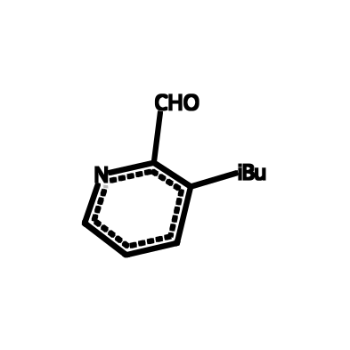 CCC(C)c1cccnc1C=O